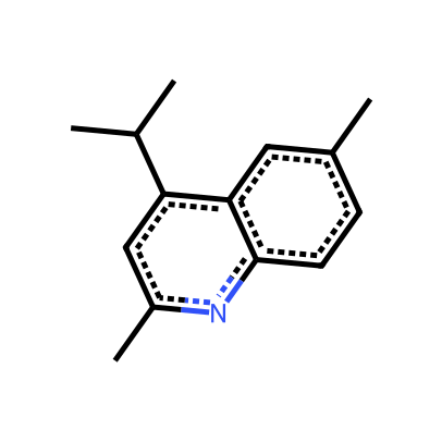 Cc1ccc2nc(C)cc(C(C)C)c2c1